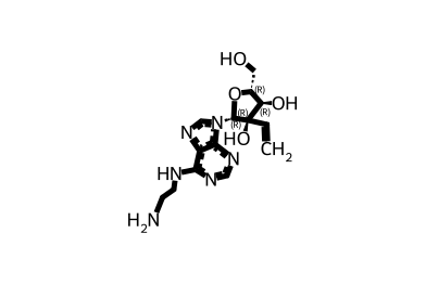 C=C[C@@]1(O)[C@H](O)[C@@H](CO)O[C@H]1n1cnc2c(NCCN)ncnc21